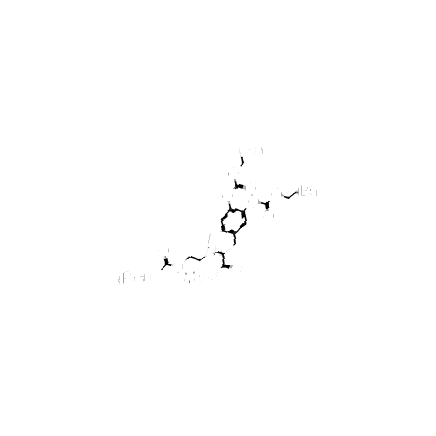 CCCC(C)C(=O)OCCN[C@@H](Cc1ccc(OC(=O)OCC(C)CC)c(OC(=O)OCC(C)CC)c1)C(=O)OC